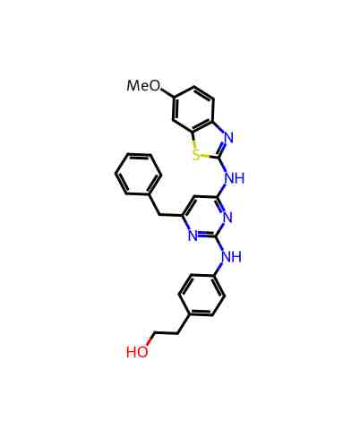 COc1ccc2nc(Nc3cc(Cc4ccccc4)nc(Nc4ccc(CCO)cc4)n3)sc2c1